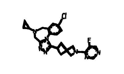 Fc1cncnc1N1CC2(CC(c3nnc4n3-c3ccc(Cl)cc3CN(C3CC3)C4)C2)C1